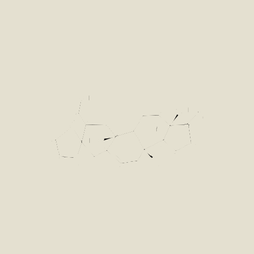 C[C@]12CC(CO)C3(CC1=CC[C@@H]1[C@@H]2CC[C@]2(C)C(=O)CC[C@@H]12)OCCO3